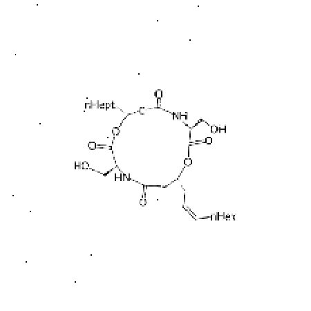 CCCCCC/C=C\C[C@@H]1CC(=O)N[C@@H](CO)C(=O)O[C@H](CCCCCCC)CC(=O)N[C@@H](CO)C(=O)O1